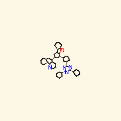 c1ccc(-c2nc(-c3ccccc3)nc(-c3cccc(-c4cc(-c5cc6ccccc6c6ncccc56)cc5c4oc4ccccc45)c3)n2)cc1